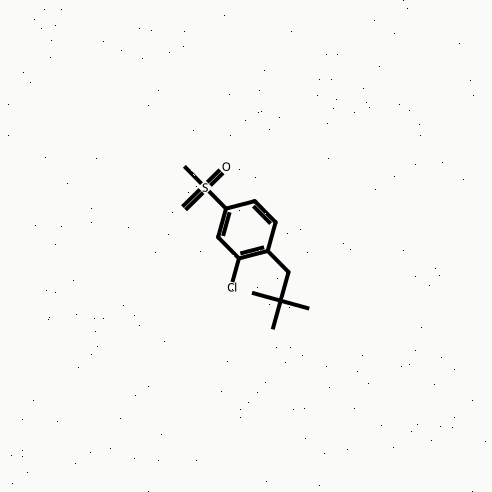 C=S(C)(=O)c1ccc(CC(C)(C)C)c(Cl)c1